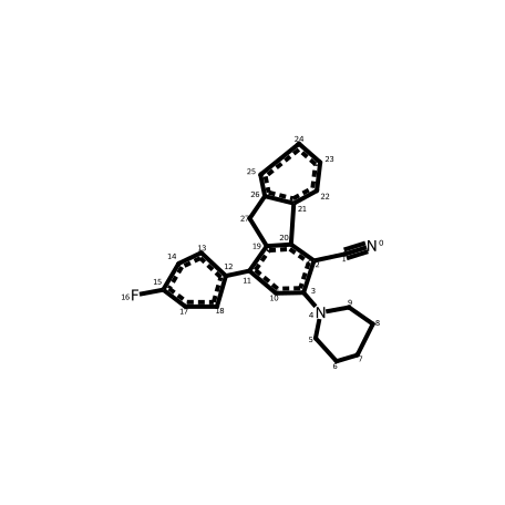 N#Cc1c(N2CCCCC2)cc(-c2ccc(F)cc2)c2c1-c1ccccc1C2